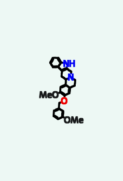 COc1cccc(COc2cc3c(cc2OC)C2Cc4c([nH]c5ccccc45)CN2CC3)c1